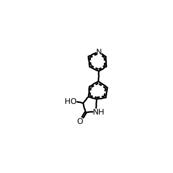 O=C1Nc2ccc(-c3ccncc3)cc2C1O